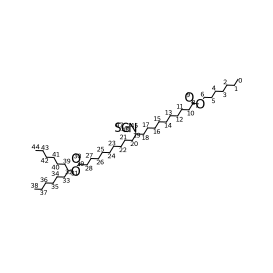 CCCCCCCOC(=O)CCCCCCCCCC(CCCCCCCCCC(=O)OC(CCCCCC)CCCCCC)N=C=S